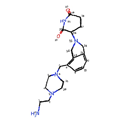 NCCN1CCN(Cc2cccc3c2CN(C2CCC(=O)NC2=O)C3)CC1